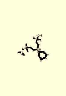 C[SiH](C)O[Si](C)(C)CC[SiH](CC[Si](C)(C)O)c1ccccc1